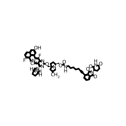 C#Cc1c(F)ccc2cc(O)cc(-c3ncc4c(N5C[C@H]6CC[C@@H](C5)N6)nc(OC[C@@]56CC[C@@H](COC(=O)NCCCCCC#Cc7cccc8c7C(=O)N(C7CCC(=O)NC7=O)C8=O)N5CC(=C)C6)nc4c3F)c12